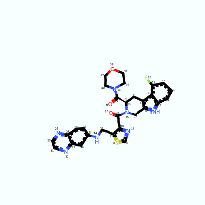 O=C([C@H]1Cc2c([nH]c3cccc(F)c23)CN1C(=O)c1ncsc1CNc1ccc2nccnc2c1)N1CCOCC1